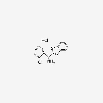 Cl.NC(c1cc2ccccc2s1)c1ccccc1Cl